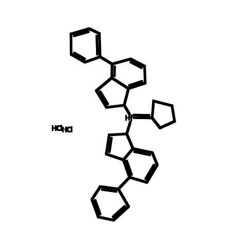 C1=C[CH]([Hf](=[C]2CCCC2)[CH]2C=Cc3c(-c4ccccc4)cccc32)c2cccc(-c3ccccc3)c21.Cl.Cl